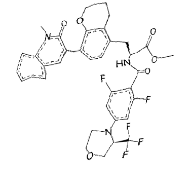 COC(=O)[C@H](Cc1ccc(-c2cc3ccccc3n(C)c2=O)c2c1CCCO2)NC(=O)c1c(F)cc(N2CCOC[C@@H]2C(F)(F)F)cc1F